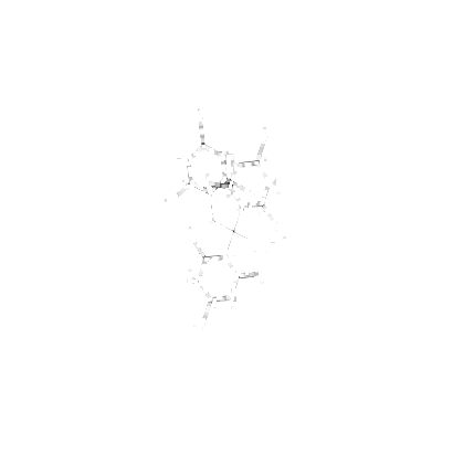 O=C(O)C([CH]n1c(=O)[nH]c(=O)[nH]c1=O)(n1c(=O)[nH]c(=O)[nH]c1=O)n1c(=O)[nH]c(=O)[nH]c1=O